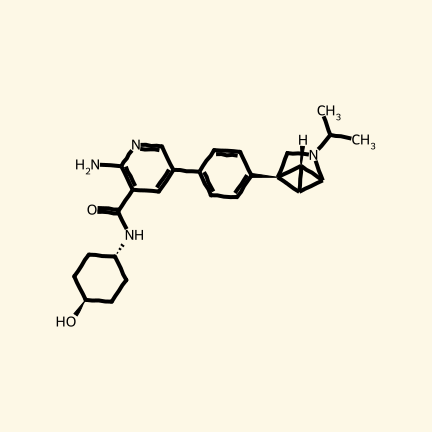 CC(C)N1C[C@@]2(c3ccc(-c4cnc(N)c(C(=O)N[C@H]5CC[C@H](O)CC5)c4)cc3)C3C1[C@H]32